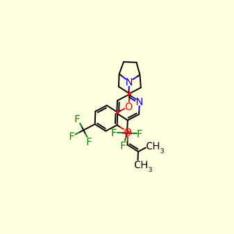 CC(C)=COc1cc(C(F)(F)F)ccc1OC1CC2CCC(C1)N2c1ccc(C(F)(F)F)cn1